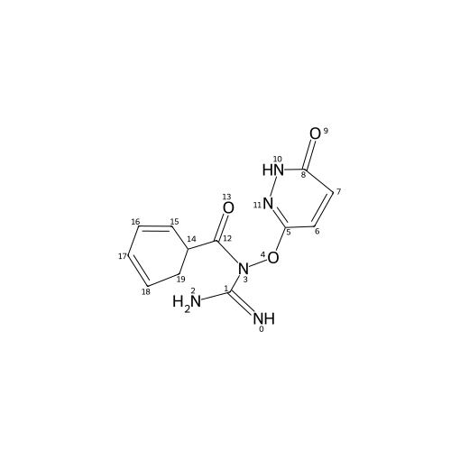 N=C(N)N(Oc1ccc(=O)[nH]n1)C(=O)C1C=CC=CC1